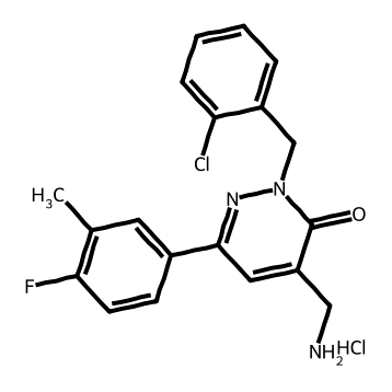 Cc1cc(-c2cc(CN)c(=O)n(Cc3ccccc3Cl)n2)ccc1F.Cl